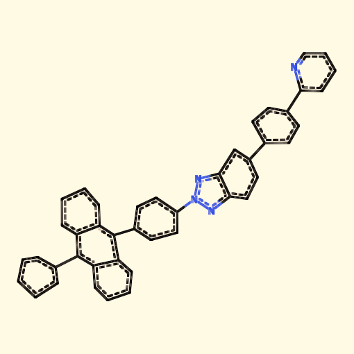 c1ccc(-c2c3ccccc3c(-c3ccc(-n4nc5ccc(-c6ccc(-c7ccccn7)cc6)cc5n4)cc3)c3ccccc23)cc1